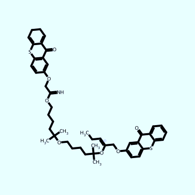 CC/C=C(/COc1ccc2sc3ccccc3c(=O)c2c1)OC(C)(C)CCCCOC(C)(C)CCCCOC(=N)COc1ccc2sc3c(c(=O)c2c1)=CCCC=3